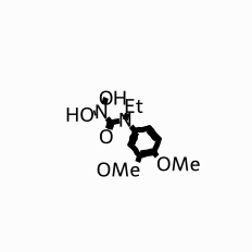 CCN(C(=O)N(O)O)c1ccc(OC)c(OC)c1